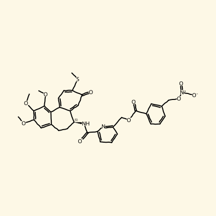 COc1cc2c(c(OC)c1OC)-c1ccc(SC)c(=O)cc1[C@@H](NC(=O)c1cccc(COC(=O)c3cccc(CO[N+](=O)[O-])c3)n1)CC2